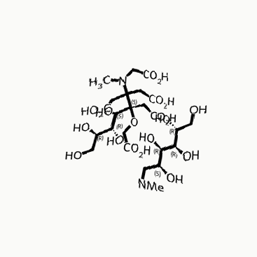 CN(CC(=O)O)C(CC(=O)O)(CC(=O)O)[C@](CC(=O)O)(OCC(=O)O)[C@@H](O)[C@H](O)[C@H](O)CO.CNC[C@H](O)[C@@H](O)[C@H](O)[C@H](O)CO